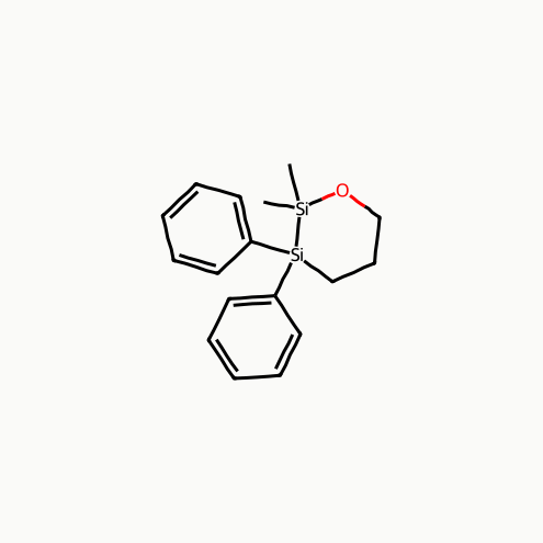 C[Si]1(C)OCCC[Si]1(c1ccccc1)c1ccccc1